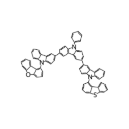 c1ccc(-n2c3ccc(-c4ccc5c(c4)c4ccccc4n5-c4cccc5oc6ccccc6c45)cc3c3cc(-c4ccc5c(c4)c4ccccc4n5-c4cccc5sc6ccccc6c45)ccc32)cc1